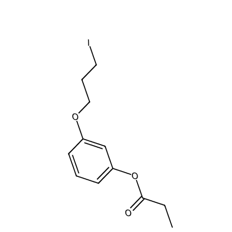 CCC(=O)Oc1cccc(OCCCI)c1